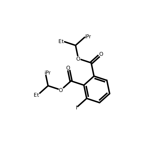 CCC(OC(=O)c1cccc(I)c1C(=O)OC(CC)C(C)C)C(C)C